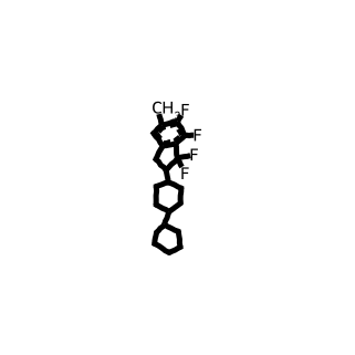 Cc1cc2c(c(F)c1F)C(F)(F)C(C1CCC(C3CCCCC3)CC1)C2